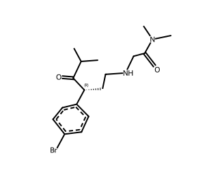 CC(C)C(=O)[C@H](CCNCC(=O)N(C)C)c1ccc(Br)cc1